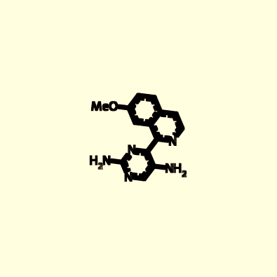 COc1ccc2ccnc(-c3nc(N)ncc3N)c2c1